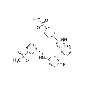 CS(=O)(=O)c1cccc(CNc2ccc(F)c(-c3ccnc4[nH]c(C5CCN(S(C)(=O)=O)CC5)cc34)c2)c1